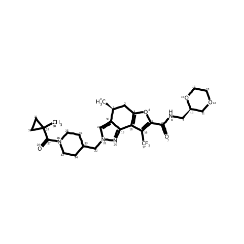 C[C@H]1Cc2oc(C(=O)NC[C@@H]3COCCO3)c(C(F)(F)F)c2-c2nn(CC3CCN(C(=O)C4(C)CC4)CC3)cc21